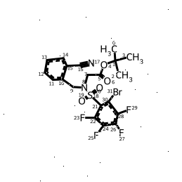 CC(C)(C)OC(=O)CN(Cc1ccccc1C#N)S(=O)(=O)c1c(F)c(F)c(F)c(F)c1Br